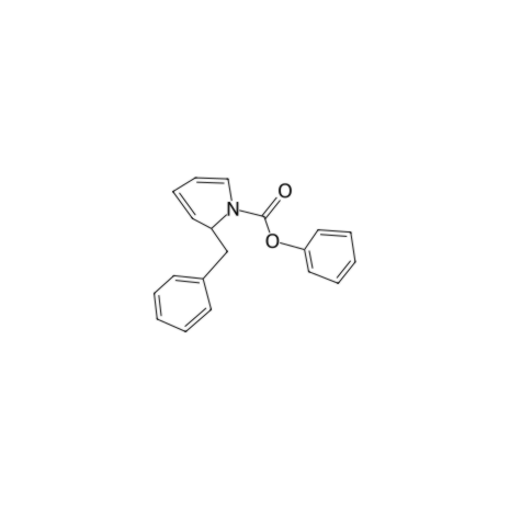 O=C(Oc1ccccc1)N1C=CC=CC1Cc1ccccc1